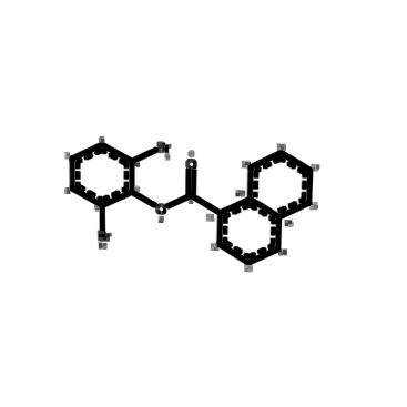 O=C(Oc1c(Br)c[c]cc1Br)c1cccc2ccccc12